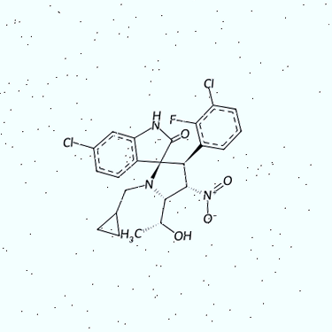 C[C@@H](O)[C@H]1[C@@H]([N+](=O)[O-])[C@H](c2cccc(Cl)c2F)[C@]2(C(=O)Nc3cc(Cl)ccc32)N1CC1CC1